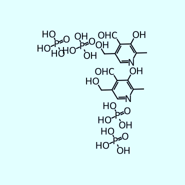 Cc1ncc(CO)c(C=O)c1O.Cc1ncc(CO)c(C=O)c1O.O=P(O)(O)O.O=P(O)(O)O.O=P(O)(O)O.O=P(O)(O)O